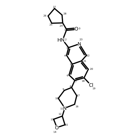 O=C(Nc1cc2cc(C3CCN(C4COC4)CC3)c(Cl)cc2cn1)C1CCCC1